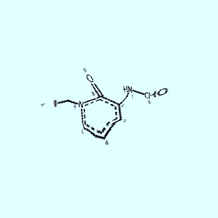 O=CNc1cccn(I)c1=O